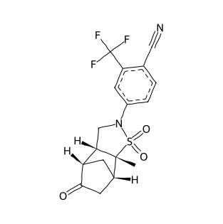 C[C@@]12[C@@H]3CC(=O)[C@@H](C3)[C@@H]1CN(c1ccc(C#N)c(C(F)(F)F)c1)S2(=O)=O